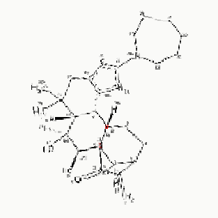 C=C1C(=O)[C@]23[C@H](O)C1CC[C@H]2[C@@]12CO[C@]3(O)[C@@H](O)[C@@H]1C(C)(C)Cc1sc(N3CCCCCC3)nc12